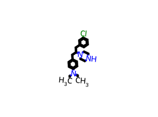 CCN(CC)c1ccc(CC(Cc2cccc(Cl)c2)N2CCNCC2)cc1